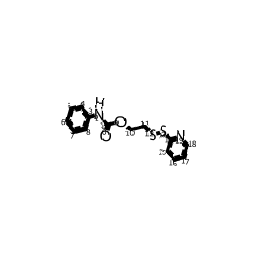 O=C(Nc1ccccc1)OCCSSc1ccccn1